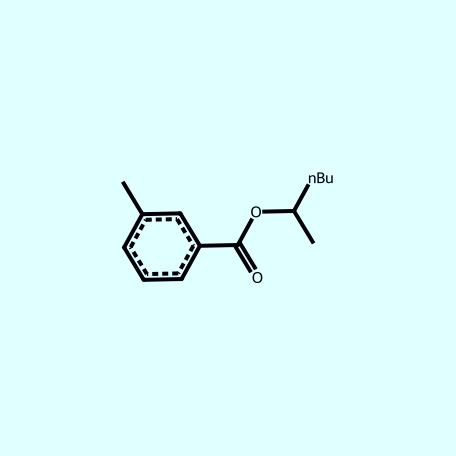 CCCCC(C)OC(=O)c1cccc(C)c1